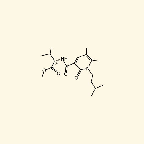 COC(=O)[C@@H](NC(=O)c1cc(C)c(C)n(CCC(C)C)c1=O)C(C)C